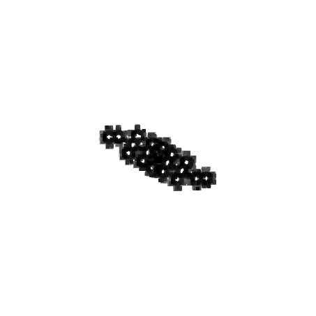 C1=CCc2c(c(-c3ccc4ccccc4c3)c3ccccc3c2-c2c3ccccc3c([Si](c3ccccc3)(c3ccccc3)c3c4ccccc4c(-c4c5ccccc5c(-c5ccc6ccccc6c5)c5ccccc45)c4ccccc34)c3ccccc23)C1